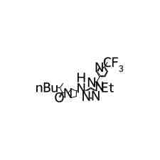 CCCCC(C)C(=O)N1CC[C@H](Nc2ncnc3c2nc(-c2ccc(C(F)(F)F)nc2)n3CC)C1